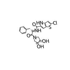 O=C(N[C@@H](Cc1ccccc1)C(=O)N1C[C@@H](O)[C@@H](O)C1)c1cc2sc(Cl)cc2[nH]1